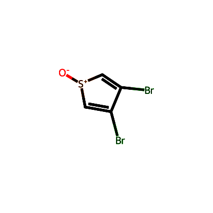 [O-][s+]1cc(Br)c(Br)c1